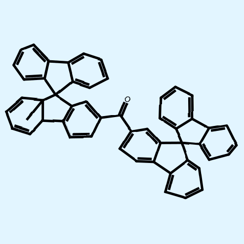 CC12C=CC=CC1c1ccc(C(=O)c3ccc4c(c3)C3(c5ccccc5-c5ccccc53)c3ccccc3-4)cc1C21c2ccccc2-c2ccccc21